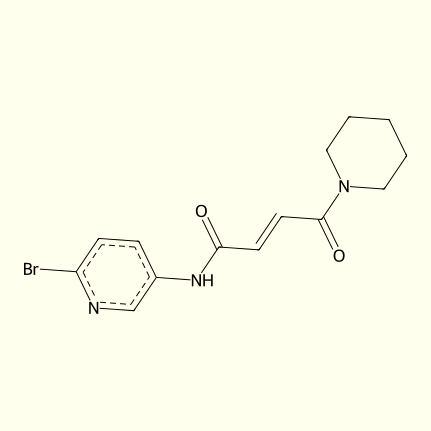 O=C(C=CC(=O)N1CCCCC1)Nc1ccc(Br)nc1